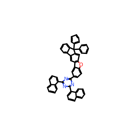 c1ccc(C2(c3ccccc3)c3ccccc3-c3cc4c(cc32)oc2ccc(-c3nc(-c5cccc6ccccc56)nc(-c5cccc6ccccc56)n3)cc24)cc1